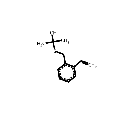 C=Cc1ccccc1CSC(C)(C)C